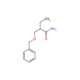 CCC(COCc1ccccc1)C(N)=O